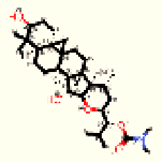 CC(C)[C@@H](OC(=O)N(C)C)C1C[C@@H](C)[C@H]2C(O1)[C@H](O)[C@@]1(C)C3CC[C@H]4C(C)(C)[C@@H](O)CC[C@@]45CC35CC[C@]21C